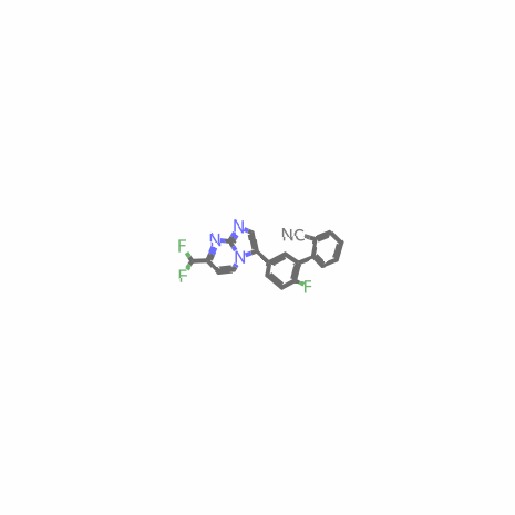 N#Cc1ccccc1-c1cc(-c2cnc3nc(C(F)F)ccn23)ccc1F